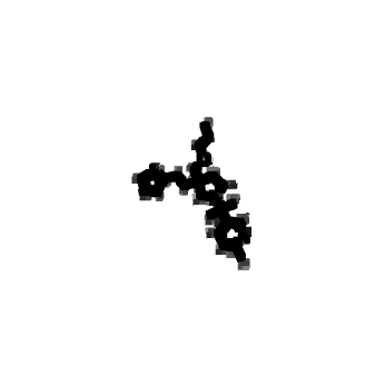 CCCOCC1(CCc2cccs2)CCN(C(C)(C)c2ccc(C)nc2)C1